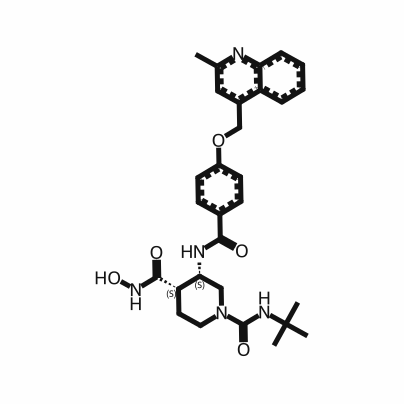 Cc1cc(COc2ccc(C(=O)N[C@@H]3CN(C(=O)NC(C)(C)C)CC[C@@H]3C(=O)NO)cc2)c2ccccc2n1